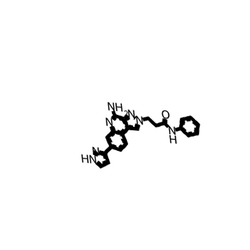 Nc1nc2cc(-c3cc[nH]n3)ccc2c2cn(CCC(=O)Nc3ccccc3)nc12